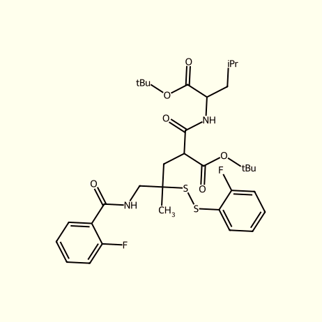 CC(C)CC(NC(=O)C(CC(C)(CNC(=O)c1ccccc1F)SSc1ccccc1F)C(=O)OC(C)(C)C)C(=O)OC(C)(C)C